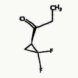 CCC(=O)[C@@H]1CC1(F)F